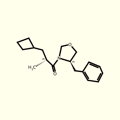 C[C@H](CC1CCC1)C(=O)N1COC[C@H]1Cc1ccccc1